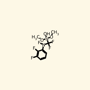 CO[Si](O)(OC)C(F)(F)N(F)c1cccc(F)c1F